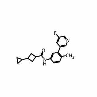 Cc1ccc(NC(=O)C2CC(C3CC3)C2)cc1-c1cncc(F)c1